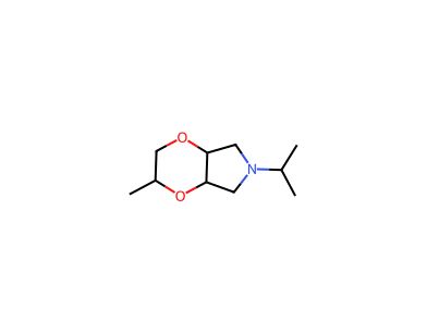 CC1COC2CN(C(C)C)CC2O1